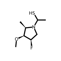 CO[C@@H]1[C@H](F)CN(C(C)S)[C@@H]1C